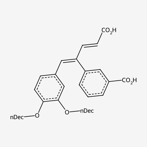 CCCCCCCCCCOc1ccc(/C=C(/C=C/C(=O)O)c2cccc(C(=O)O)c2)cc1OCCCCCCCCCC